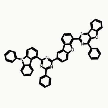 c1ccc(-c2nc(-c3ccc4oc5c(-c6nc(-c7ccccc7)c7oc8ccccc8c7n6)cccc5c4c3)nc(-c3cccc4c3c3ccccc3n4-c3ccccc3)n2)cc1